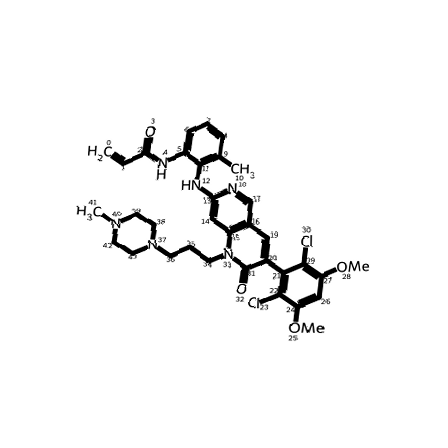 C=CC(=O)Nc1cccc(C)c1Nc1cc2c(cn1)cc(-c1c(Cl)c(OC)cc(OC)c1Cl)c(=O)n2CCCN1CCN(C)CC1